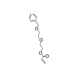 C=CC(=O)OCCOCCOCc1ccccc1